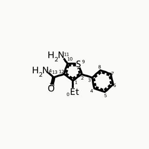 CCc1c(-c2ccccc2)sc(N)c1C(N)=O